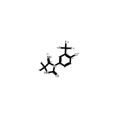 CC1(C)NC(=O)N(c2ccc(Cl)c(C(F)(F)F)c2)C1=N